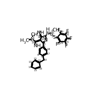 CB(NN1N=C(c2ccc(Cc3ccccc3)cc2)/C(=C(\N)N(C)C)C1=N)Sc1c(F)c(F)c(F)c(F)c1F